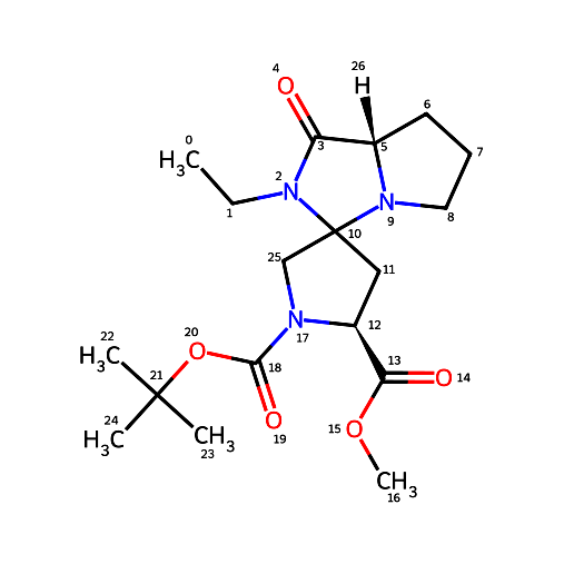 CCN1C(=O)[C@@H]2CCCN2C12C[C@@H](C(=O)OC)N(C(=O)OC(C)(C)C)C2